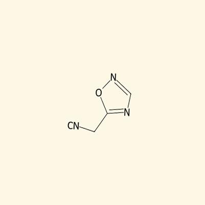 [C-]#[N+]Cc1ncno1